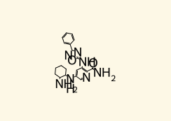 NC(=O)c1ncc(N[C@@H]2CCCC[C@@H]2N)cc1Nc1nc(-c2ccccc2)no1